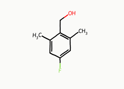 Cc1cc(F)cc(C)c1CO